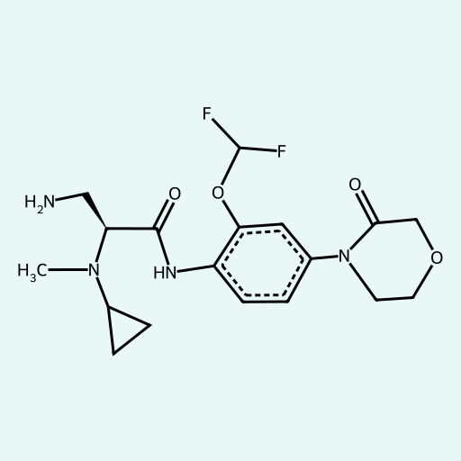 CN(C1CC1)[C@@H](CN)C(=O)Nc1ccc(N2CCOCC2=O)cc1OC(F)F